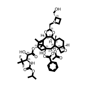 CC(=O)O[C@@]12CO[C@@H]1CC[C@@]1(C)[C@@H]3O[C@H](CN4CC[C@H]4CO)O[C@@H]3C3=C(C)[C@@H](OC(=O)[C@H](O)[C@@H](NC(=O)OC(C)C)C(C)(F)F)C[C@@](O)([C@@H](OC(=O)c4ccccc4)[C@@H]12)C3(C)C